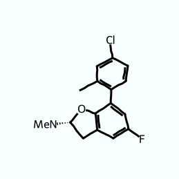 CN[C@H]1Cc2cc(F)cc(-c3ccc(Cl)cc3C)c2O1